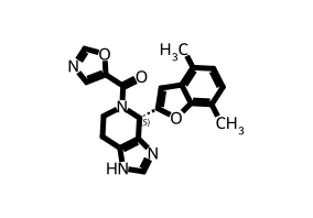 Cc1ccc(C)c2oc([C@@H]3c4nc[nH]c4CCN3C(=O)c3cnco3)cc12